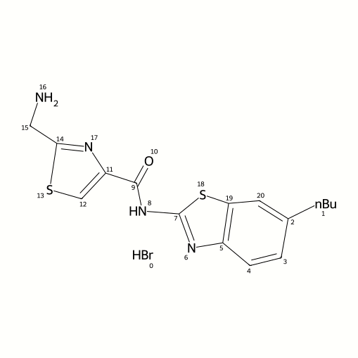 Br.CCCCc1ccc2nc(NC(=O)c3csc(CN)n3)sc2c1